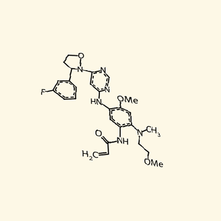 C=CC(=O)Nc1cc(Nc2cc(N3OCCC3c3cccc(F)c3)ncn2)c(OC)cc1N(C)CCOC